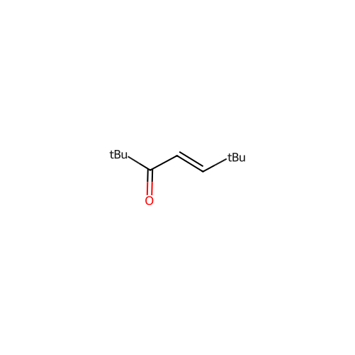 CC(C)(C)/C=C/C(=O)C(C)(C)C